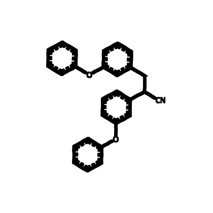 N#CC([CH]c1cccc(Oc2ccccc2)c1)c1cccc(Oc2ccccc2)c1